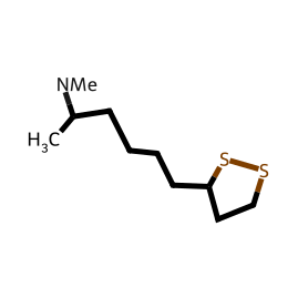 CNC(C)CCCCC1CCSS1